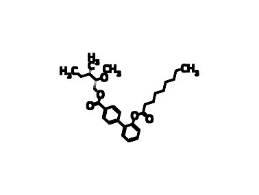 CCCCCCCCC(=O)Oc1ccccc1-c1ccc(C(=O)OC[C@@H](OC)[C@@H](C)CC)cc1